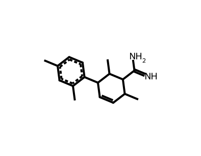 Cc1ccc(C2C=CC(C)C(C(=N)N)C2C)c(C)c1